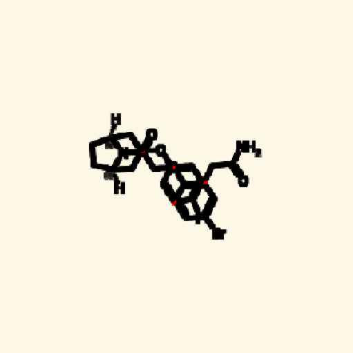 NC(=O)Cc1cc(Br)ccc1OCC(=O)N1[C@@H]2CC[C@H]1CC(Oc1ccc(F)cc1)C2